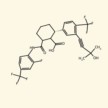 CC(C)(O)C#Cc1cc([C@H]2CCCC(C(=O)Nc3ccc(C(F)(F)F)cc3F)C2C(=O)O)ccc1C(F)(F)F